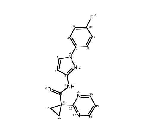 O=C(Nc1ccn(-c2ccc(F)cc2)n1)C1(c2ncccn2)CC1